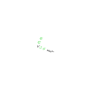 [Cl-].[Cl-].[Cl-].[Cl-].[Ho+3].[Li+]